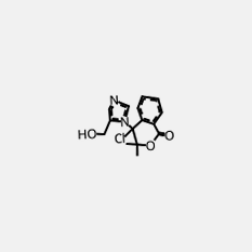 CC1(C)OC(=O)c2ccccc2C1(Cl)n1cncc1CO